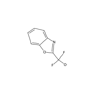 [O]C(F)(F)c1nc2ccccc2o1